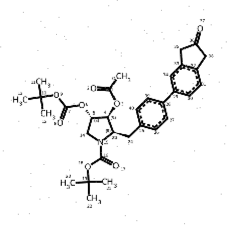 CC(=O)O[C@@H]1[C@@H](OC(=O)OC(C)(C)C)CN(C(=O)OC(C)(C)C)[C@@H]1Cc1ccc(-c2ccc3c(c2)CC(=O)C3)cc1